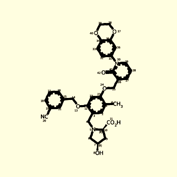 Cc1cc(CN2C[C@H](O)C[C@@H]2C(=O)O)c(OCc2cccc(C#N)c2)cc1OCc1cccn(-c2ccc3c(c2)OCCO3)c1=O